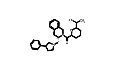 CC(N)C1CCCC(C(=O)N2Cc3ccccc3C[C@H]2CN2CCC(c3ccccc3)C2)N1